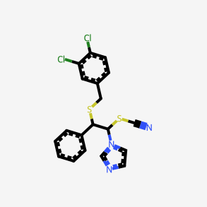 N#CSC(C(SCc1ccc(Cl)c(Cl)c1)c1ccccc1)n1ccnc1